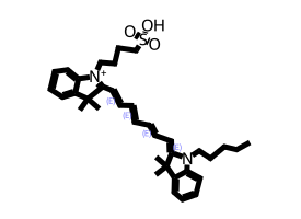 CCCCCN1/C(=C/C=C/C=C/C=C/C2=[N+](CCCCS(=O)(=O)O)c3ccccc3C2(C)C)C(C)(C)c2ccccc21